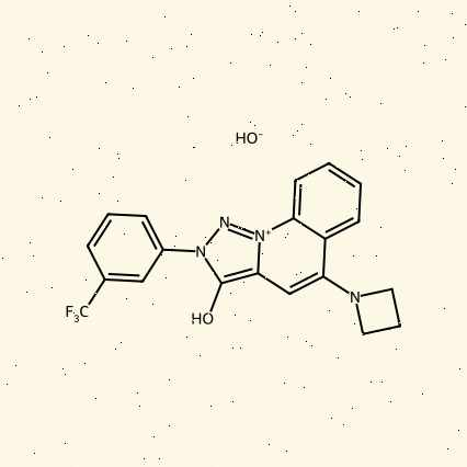 Oc1c2cc(N3CCC3)c3ccccc3[n+]2nn1-c1cccc(C(F)(F)F)c1.[OH-]